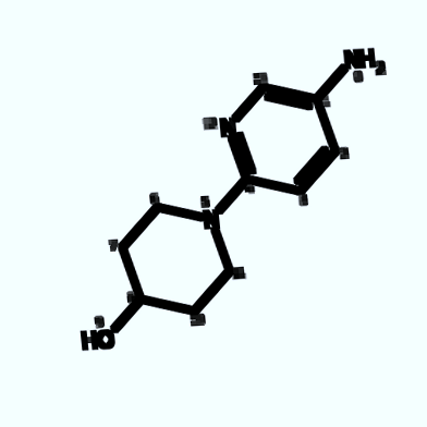 Nc1ccc(N2CCC(O)CC2)nc1